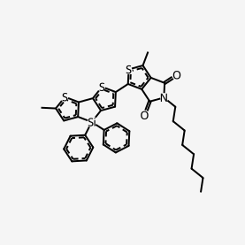 CCCCCCCCN1C(=O)c2c(C)sc(-c3cc4c(s3)-c3sc(C)cc3[Si]4(c3ccccc3)c3ccccc3)c2C1=O